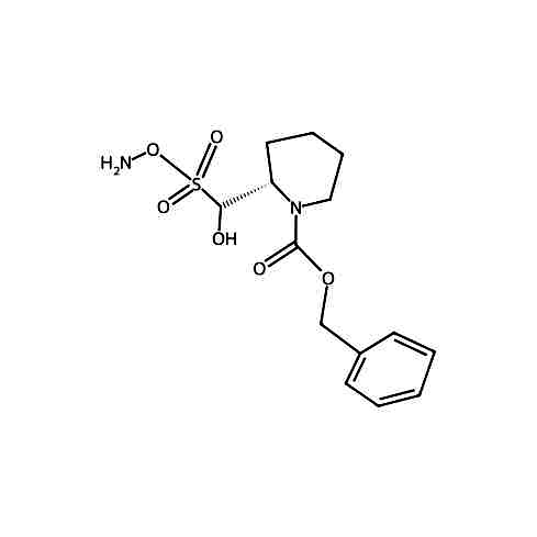 NOS(=O)(=O)C(O)[C@@H]1CCCCN1C(=O)OCc1ccccc1